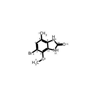 COc1c(Br)cc(C)c2[nH]c(=O)[nH]c12